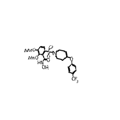 COc1ccc(S(=O)(=O)N2CCC(Oc3ccc(C(F)(F)F)cc3)CC2)c(C(=O)NO)c1OC